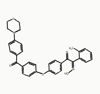 Cc1ccccc1/C(=N/O)C(=O)c1ccc(Sc2ccc(C(=O)c3ccc(N4CCOCC4)cc3)cc2)cc1